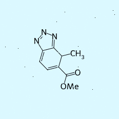 COC(=O)C1=CC=C2N=NN=C2C1C